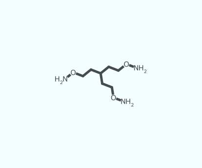 NOCCC(CCON)CCON